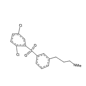 CNCCCc1cccc(S(=O)(=O)c2cc(Cl)ccc2Cl)c1